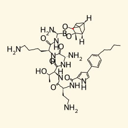 CCCCc1ccc(-c2c[nH]c(C(=O)N[C@@H](CCN)C(=O)N[C@H](C(=O)N[C@@H](N)C(=O)N[C@@H](CCCCN)C(=O)N[C@@H](N)B3OC4C[C@@H]5C[C@@H](C5(C)C)[C@]4(C)O3)[C@@H](C)O)c2)cc1